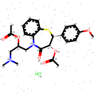 COc1ccc([C@H]2Sc3ccccc3N(CC(CN(C)C)OC(C)=O)C(=O)[C@H]2OC(C)=O)cc1.Cl